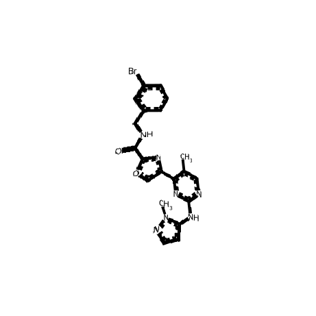 Cc1cnc(Nc2ccnn2C)nc1-c1coc(C(=O)NCc2cccc(Br)c2)n1